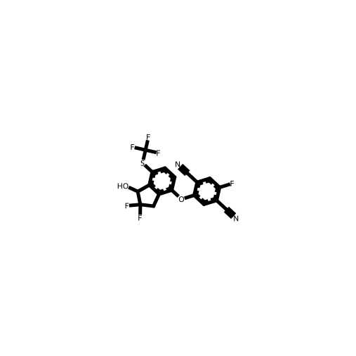 N#Cc1cc(Oc2ccc(SC(F)(F)F)c3c2CC(F)(F)C3O)c(C#N)cc1F